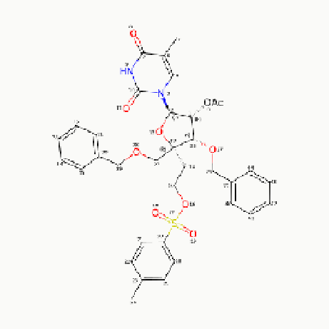 CC(=O)O[C@H]1[C@H](n2cc(C)c(=O)[nH]c2=O)O[C@](CCOS(=O)(=O)c2ccc(C)cc2)(COCc2ccccc2)[C@H]1OCc1ccccc1